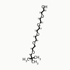 CC(C)(C)COCCOCCOCCOCCOCCO